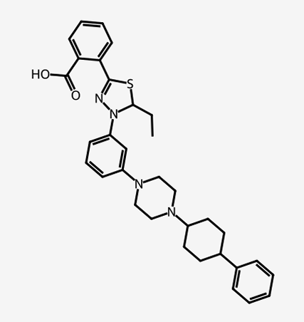 CCC1SC(c2ccccc2C(=O)O)=NN1c1cccc(N2CCN(C3CCC(c4ccccc4)CC3)CC2)c1